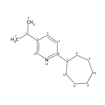 CC(C)c1ccc(C2CCCCCC2)nc1